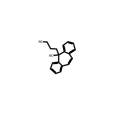 N#CCCCC1(C#N)c2ccccc2C=Cc2ccccc21